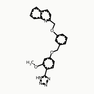 COc1cc(OCc2cccc(OCc3ccc4ccccc4n3)c2)ccc1-c1nnn[nH]1